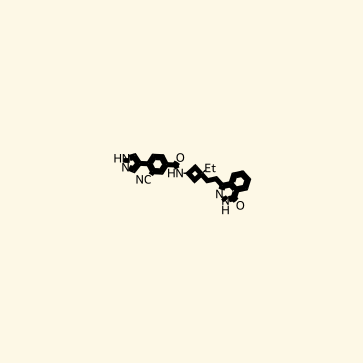 CC[C@]1(CCc2n[nH]c(=O)c3ccccc23)C[C@H](NC(=O)c2ccc(-c3cn[nH]c3)c(C#N)c2)C1